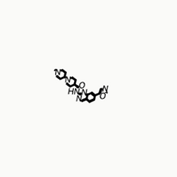 CN1CCC(N2CCC(C(=O)Nc3ncc4ccc(-c5cnco5)cc4n3)CC2)CC1